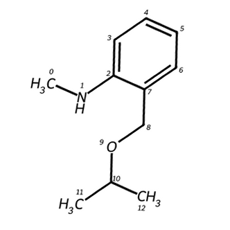 CNc1ccccc1COC(C)C